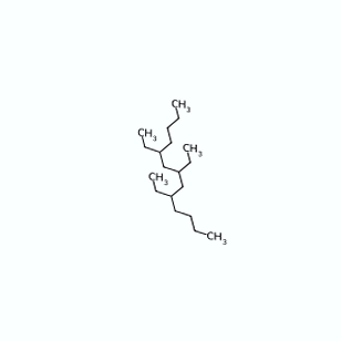 CCCCC(CC)CC(CC)CC(CC)CCCC